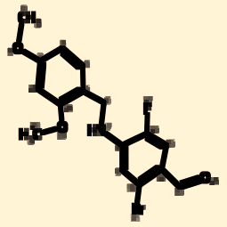 COc1ccc(CNc2cc(Br)c(C=O)cc2F)c(OC)c1